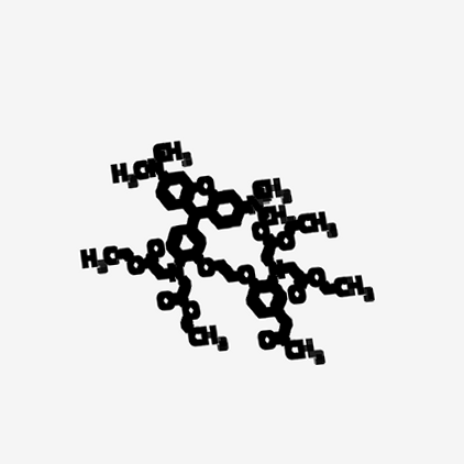 CCOC(=O)CN(CC(=O)OCC)c1ccc(-c2c3ccc(=[N+](C)C)cc-3oc3cc(N(C)C)ccc23)cc1OCCOc1ccc(CC(C)=O)cc1N(CC(=O)OCC)CC(=O)OCC